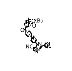 CC(C)C[C@@H](CNC(=O)OC(C)(C)C)C(=O)N1CCN(c2ccc(-c3nc(-c4cnn(C)c4)cn4ncc(C#N)c34)cn2)CC1